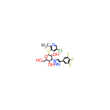 Cc1ncc(Cl)cc1S[C@H]1OC(CO)[C@H](O)[C@H](n2cc(-c3cc(F)c(F)c(F)c3)nn2)C1O